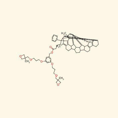 CC1=C2CCC3C4C2=C2C5=c6c7c8c9c%10c6C6(C(C)=C%10CCC=9C9=C8C8C%10=C7C5=C4C4C3CCC(C8CC9)C%104)C12C6(CCCC(=O)OCc1cc(OCCCOCC2(C)COC2)cc(OCCCOCC2(C)COC2)c1)c1ccccc1